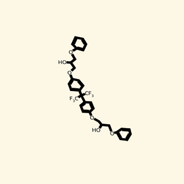 OC(COc1ccccc1)COc1ccc(C(c2ccc(OCC(O)COc3ccccc3)cc2)(C(F)(F)F)C(F)(F)F)cc1